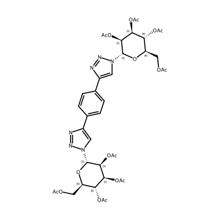 CC(=O)OC[C@H]1O[C@H](n2cc(-c3ccc(-c4cn([C@H]5O[C@H](COC(C)=O)[C@@H](OC(C)=O)[C@H](OC(C)=O)[C@@H]5OC(C)=O)nn4)cc3)nn2)[C@@H](OC(C)=O)[C@@H](OC(C)=O)[C@@H]1OC(C)=O